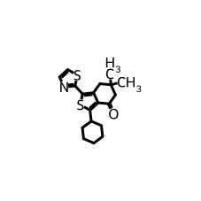 CC1(C)CC(=O)c2c(C3CCCCC3)sc(-c3nccs3)c2C1